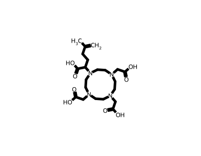 C=C(C)CCC(C(=O)O)N1CCN(CC(=O)O)CCN(CC(=O)O)CCN(CC(=O)O)CC1